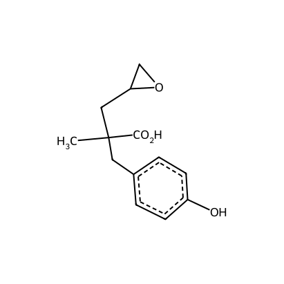 CC(Cc1ccc(O)cc1)(CC1CO1)C(=O)O